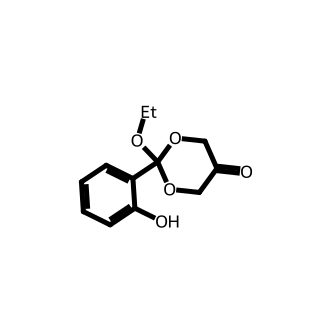 CCOC1(c2ccccc2O)OCC(=O)CO1